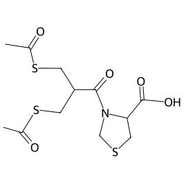 CC(=O)SCC(CSC(C)=O)C(=O)N1CSCC1C(=O)O